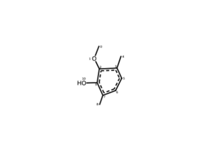 COc1c(C)ccc(C)c1O